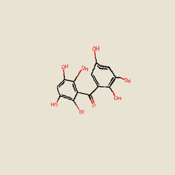 O=C(c1cc(O)cc(O)c1O)c1c(O)c(O)cc(O)c1O